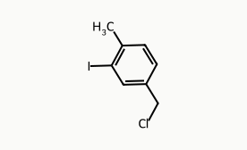 Cc1ccc(CCl)cc1I